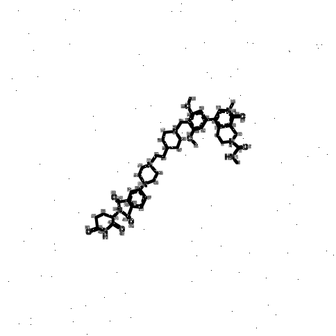 CNC(=O)N1CCc2c(-c3cc(OC)c(CN4CCC(CCN5CCN(c6ccc7c(c6)C(=O)N(C6CCC(=O)NC6=O)C7=O)CC5)CC4)c(OC)c3)cn(C)c(=O)c2C1